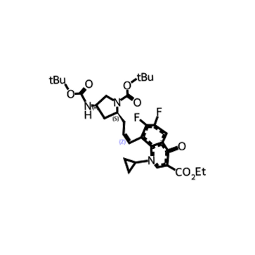 CCOC(=O)c1cn(C2CC2)c2c(/C=C\C[C@H]3C[C@@H](NC(=O)OC(C)(C)C)CN3C(=O)OC(C)(C)C)c(F)c(F)cc2c1=O